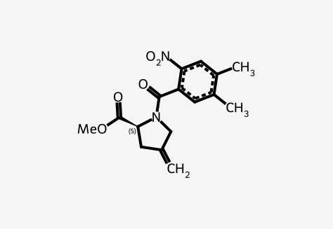 C=C1C[C@@H](C(=O)OC)N(C(=O)c2cc(C)c(C)cc2[N+](=O)[O-])C1